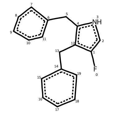 Fc1c[nH]c(Cc2ccccc2)c1Cc1ccccc1